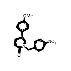 COc1ccc(-c2ccc(=O)n(Cc3ccc([N+](=O)[O-])cc3)c2)cc1